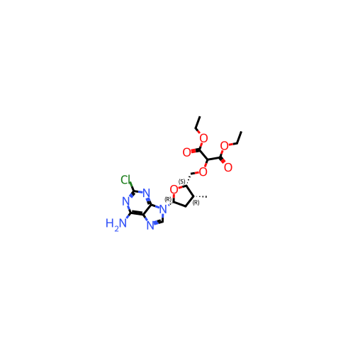 CCOC(=O)C(OC[C@H]1O[C@@H](n2cnc3c(N)nc(Cl)nc32)C[C@H]1C)C(=O)OCC